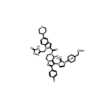 COCC12CCC(n3ccn(-c4c(-c5ccc(F)cc5)nn5c4[C@H](C)N(C(=O)c4cc6cc(C7CCOCC7)ccc6n4Cc4noc(=O)[nH]4)CC5)c3=O)(CC1)CC2